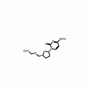 CC(=O)Nc1ccn([C@H]2CC[C@@H](COCC=O)O2)c(=O)n1